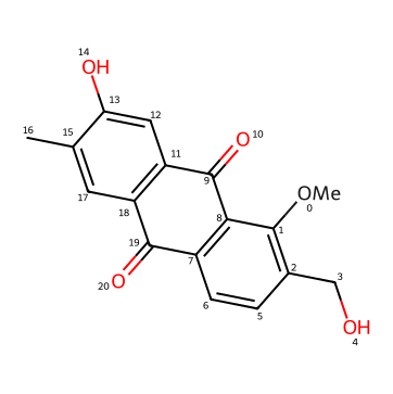 COc1c(CO)ccc2c1C(=O)c1cc(O)c(C)cc1C2=O